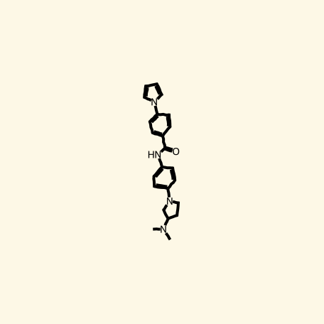 CN(C)C1CCN(c2ccc(NC(=O)c3ccc(-n4cccc4)cc3)cc2)C1